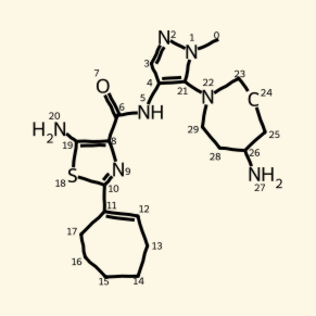 Cn1ncc(NC(=O)c2nc(C3=CCCCCC3)sc2N)c1N1CCCC(N)CC1